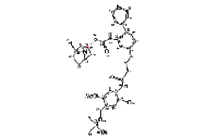 COc1cc(NC(=O)CCCc2ccc(-c3ccccc3)c(NC(=O)O[C@@H]3CC4CC[C@H](C3)N4C)c2)c(Cl)cc1CO[Si](C)(C)C(C)(C)C